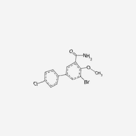 COc1c(Br)cc(-c2ccc(Cl)cc2)cc1C(N)=O